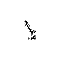 C=CC(=O)OCCCC(=O)OCC(F)(F)S